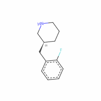 Fc1ccccc1C[C@@H]1CCCNC1